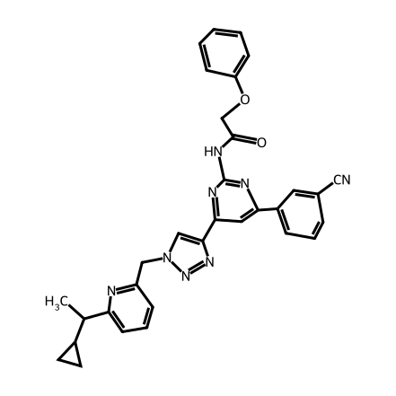 CC(c1cccc(Cn2cc(-c3cc(-c4cccc(C#N)c4)nc(NC(=O)COc4ccccc4)n3)nn2)n1)C1CC1